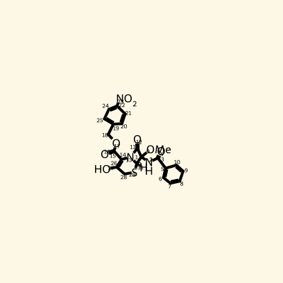 COC1(NC(=O)c2ccccc2)C(=O)N2C(C(=O)OCc3ccc([N+](=O)[O-])cc3)=C(O)CS[C@H]21